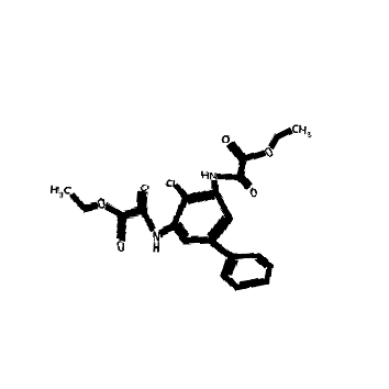 CCOC(=O)C(=O)Nc1cc(-c2ccccc2)cc(NC(=O)C(=O)OCC)c1Cl